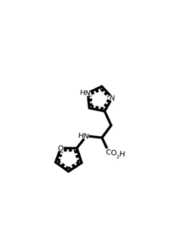 O=C(O)C(Cc1c[nH]cn1)Nc1ccco1